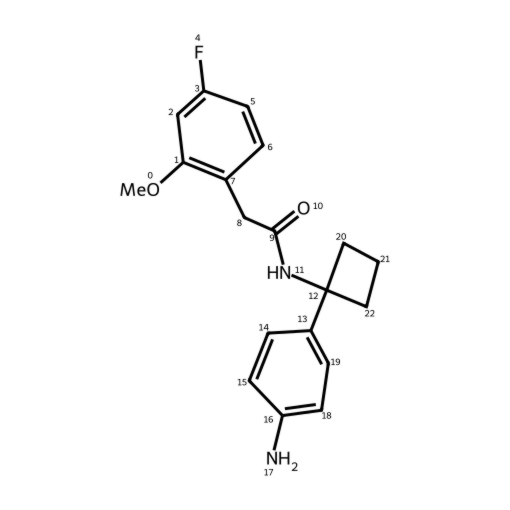 COc1cc(F)ccc1CC(=O)NC1(c2ccc(N)cc2)CCC1